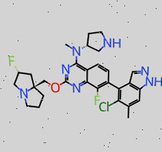 Cc1cc2[nH]ncc2c(-c2ccc3c(N(C)[C@@H]4CCNC4)nc(OC[C@@]45CCCN4C[C@H](F)C5)nc3c2F)c1Cl